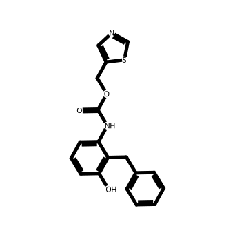 O=C(Nc1cccc(O)c1Cc1ccccc1)OCc1cncs1